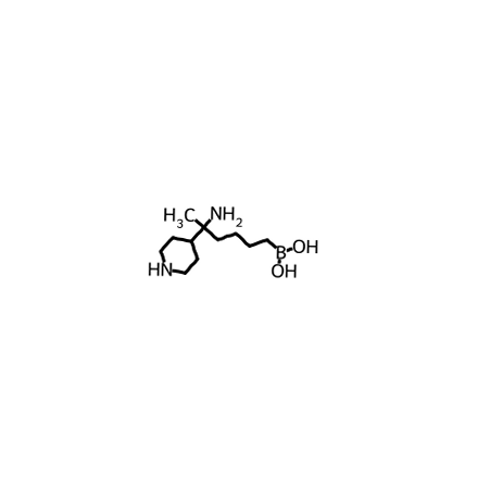 CC(N)(CCCCB(O)O)C1CCNCC1